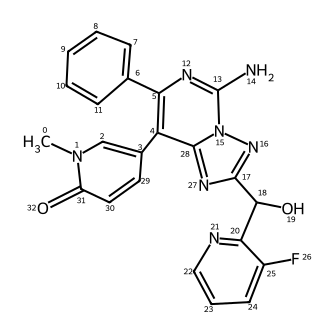 Cn1cc(-c2c(-c3ccccc3)nc(N)n3nc(C(O)c4ncccc4F)nc23)ccc1=O